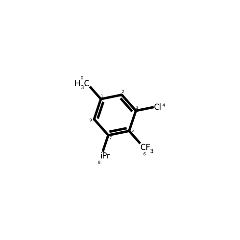 Cc1cc(Cl)c(C(F)(F)F)c(C(C)C)c1